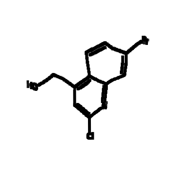 OCc1cc(Cl)nc2cc(Br)ccc12